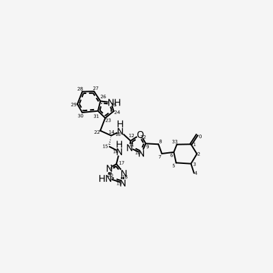 C=C1CC(C)CC(CCc2nnc(N[C@H](CNc3nn[nH]n3)Cc3c[nH]c4ccccc34)o2)C1